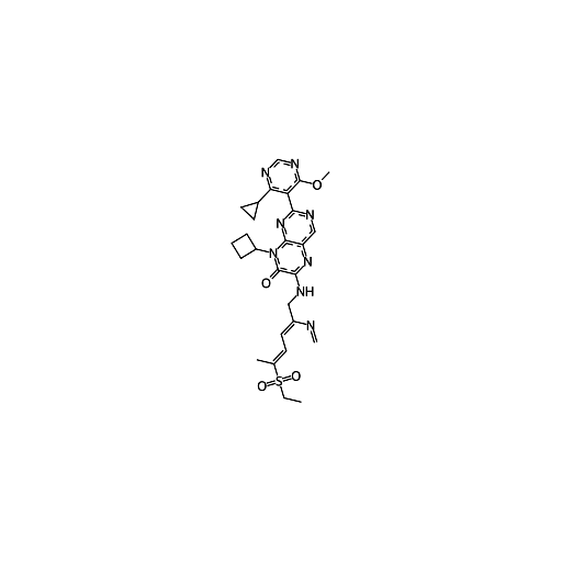 C=N/C(=C\C=C(/C)S(=O)(=O)CC)CNc1nc2cnc(-c3c(OC)ncnc3C3CC3)nc2n(C2CCC2)c1=O